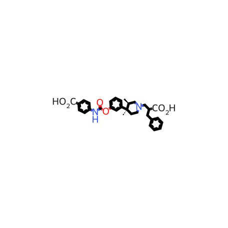 C[C@H]1CN(CC(Cc2ccccc2)C(=O)O)CC[C@@]1(C)c1cccc(OC(=O)Nc2ccc(C(=O)O)cc2)c1